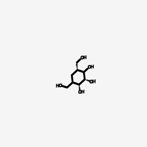 OCC1C[C@H](CO)C(O)[C@H](O)[C@@H]1O